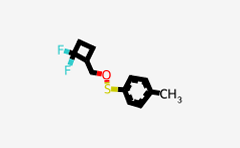 Cc1ccc(SOCC2CCC2(F)F)cc1